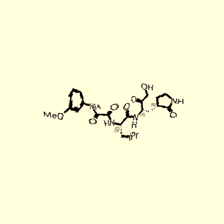 COc1cccc(NC(=O)C(=O)N[C@@H](CC(C)C)C(=O)N[C@@H](C[C@@H]2CCNC2=O)C(=O)CO)c1